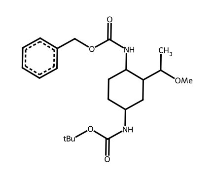 COC(C)C1CC(NC(=O)OC(C)(C)C)CCC1NC(=O)OCc1ccccc1